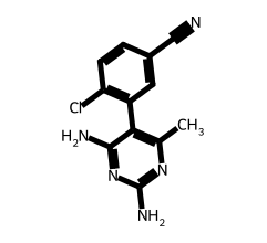 Cc1nc(N)nc(N)c1-c1cc(C#N)ccc1Cl